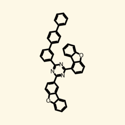 c1ccc(-c2ccc(-c3cccc(-c4nc(-c5ccc6oc7ccccc7c6c5)nc(-c5cccc6oc7ccccc7c56)n4)c3)cc2)cc1